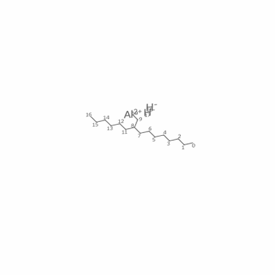 CCCCCCCCC([CH2][Al+2])CCCCCC.[H-].[H-]